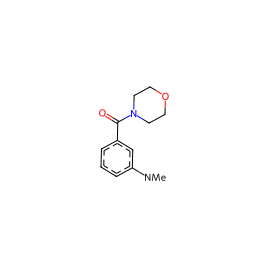 CNc1cccc(C(=O)N2CCOCC2)c1